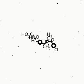 Cc1cc(C(C)c2ccc(NC(=O)NCC(=O)O)cc2)[nH]c1C(=O)c1ccc(Cl)cc1